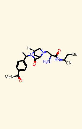 CCC(C)CC(C#N)NC(=O)C(N)CN1C[C@@H]2CC1C(=O)N2C(C)c1ccc(C(=O)NC)cc1